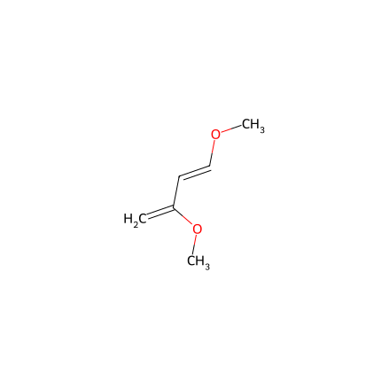 C=C(/C=C/OC)OC